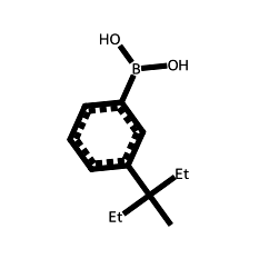 CCC(C)(CC)c1cccc(B(O)O)c1